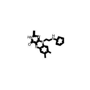 C=c1nc2c(c(=O)[nH]1)=Nc1cc(C)c(C)cc1N2CCNc1ccccc1